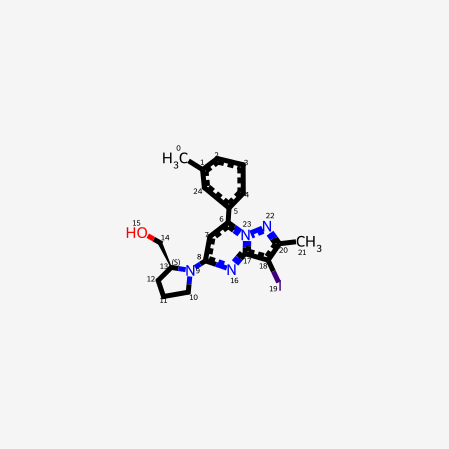 Cc1cccc(-c2cc(N3CCC[C@H]3CO)nc3c(I)c(C)nn23)c1